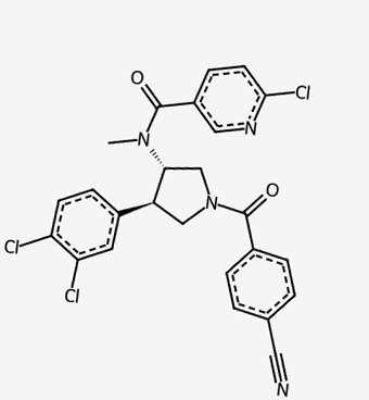 CN(C(=O)c1ccc(Cl)nc1)[C@@H]1CN(C(=O)c2ccc(C#N)cc2)C[C@H]1c1ccc(Cl)c(Cl)c1